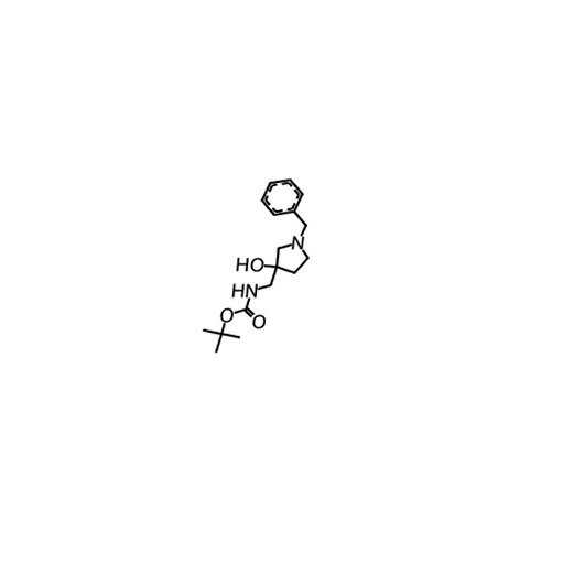 CC(C)(C)OC(=O)NCC1(O)CCN(Cc2ccccc2)C1